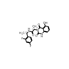 C[C@H](NC(=O)[C@H](C)n1c(=O)[nH]c2cccc(O)c2c1=O)c1ccc(F)cc1F